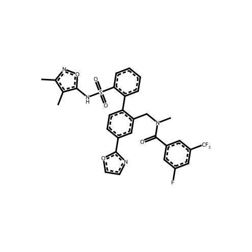 Cc1noc(NS(=O)(=O)c2ccccc2-c2ccc(-c3ncco3)cc2CN(C)C(=O)c2cc(F)cc(C(F)(F)F)c2)c1C